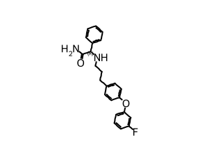 NC(=O)[C@H](NCCCc1ccc(Oc2cccc(F)c2)cc1)c1ccccc1